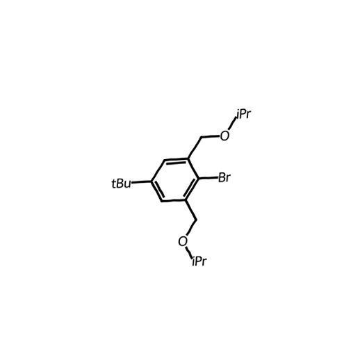 CC(C)OCc1cc(C(C)(C)C)cc(COC(C)C)c1Br